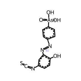 O=[As](O)(O)c1ccc(/N=N/c2cc(N=C=S)ccc2O)cc1